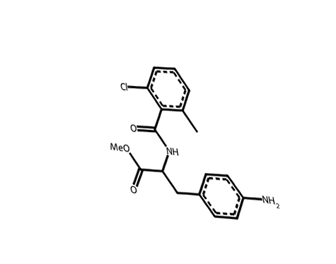 COC(=O)C(Cc1ccc(N)cc1)NC(=O)c1c(C)cccc1Cl